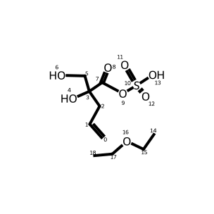 C=CCC(O)(CO)C(=O)OS(=O)(=O)O.CCOCC